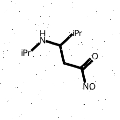 CC(C)NC(CC(=O)N=O)C(C)C